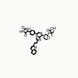 O=C(O)C(F)(F)F.O=C1NC(=O)C(c2ccc(-c3cnc(N4CCOCC4)c4nc(C=Cc5ccc6ccccc6n5)cn34)cc2)N1